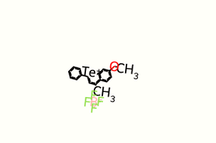 COc1ccc2c(C)cc(-c3ccccc3)[te+]c2c1.F[B-](F)(F)F